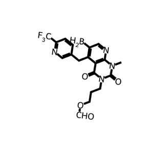 Bc1cnc2c(c1Cc1ccc(C(F)(F)F)nc1)c(=O)n(CCCOC=O)c(=O)n2C